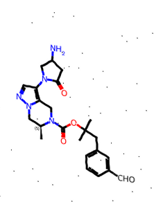 C[C@H]1Cn2ncc(N3CC(N)CC3=O)c2CN1C(=O)OC(C)(C)Cc1cccc(C=O)c1